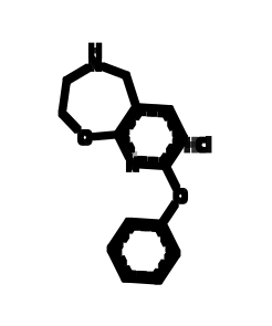 Cl.c1ccc(Oc2ccc3c(n2)OCCNC3)cc1